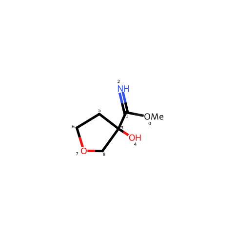 COC(=N)C1(O)CCOC1